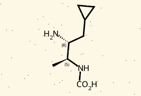 C[C@H](NC(=O)O)[C@H](N)CC1CC1